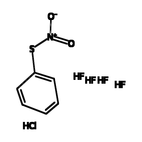 Cl.F.F.F.F.O=[N+]([O-])Sc1ccccc1